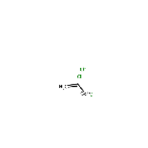 C=[CH][Ge+3].[Cl-].[Cl-].[Cl-]